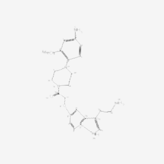 COc1cc(N)ccc1N1CCN(C(=O)COc2ccc3[nH]cc(CCN)c3c2)CC1